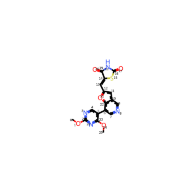 COc1ncc(-c2cncc3cc(/C=C4\SC(=O)NC4=O)oc23)c(OC)n1